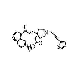 COc1ccc2ncc(C)c([C@H](F)CCC3(CC(=O)O)CCN(CC#Cc4cccs4)CC3)c2c1